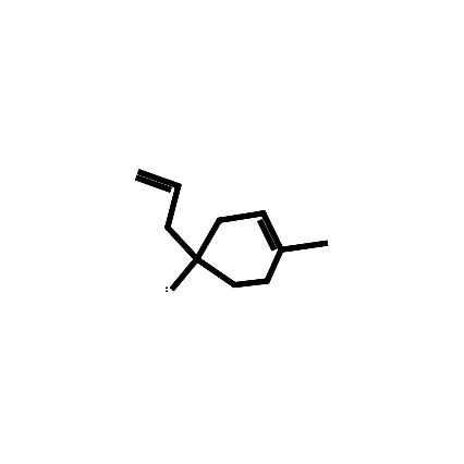 [CH]C1(CC=C)CC=C(C)CC1